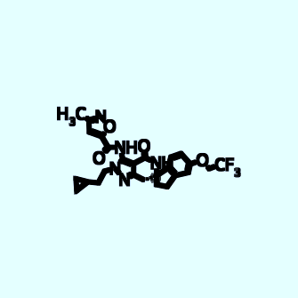 Cc1cc(C(=O)Nc2c3c(nn2CCC2CC2)C[C@]2(CCc4cc(OCC(F)(F)F)ccc42)NC3=O)on1